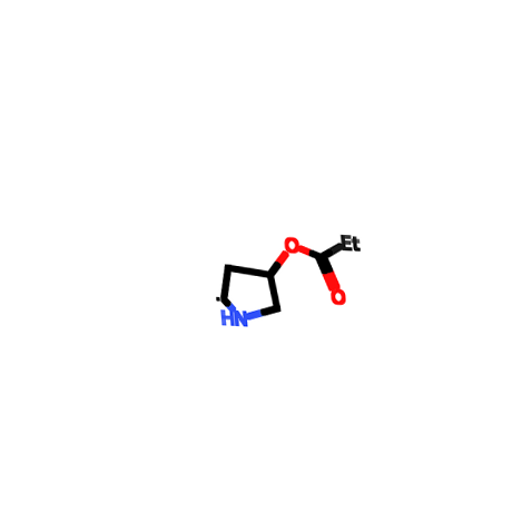 CCC(=O)OC1C[CH]NC1